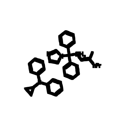 CCCC(C)=C[SiH2]C(c1ccccc1)(c1ccccc1)n1ccnc1.c1ccc(B(c2ccccc2)C2CC2)cc1